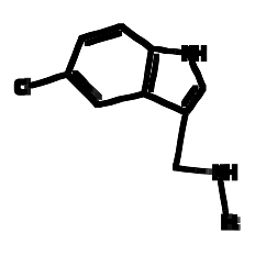 CCNCc1c[nH]c2ccc(Cl)cc12